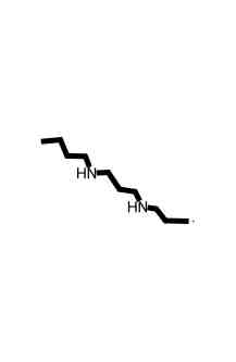 [CH2]CCNCCCNCCCC